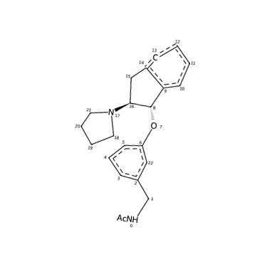 CC(=O)NCc1cccc(O[C@H]2c3ccccc3C[C@@H]2N2CCCC2)c1